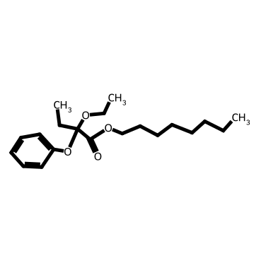 CCCCCCCCOC(=O)C(CC)(OCC)Oc1ccccc1